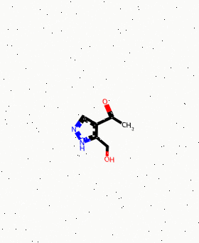 CC(=O)c1cn[nH]c1CO